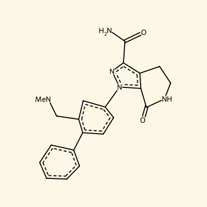 CNCc1cc(-n2nc(C(N)=O)c3c2C(=O)NCC3)ccc1-c1ccccc1